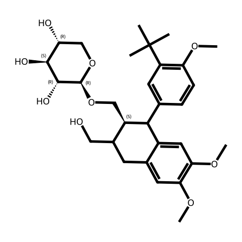 COc1cc2c(cc1OC)C(c1ccc(OC)c(C(C)(C)C)c1)[C@H](CO[C@@H]1OC[C@@H](O)[C@H](O)[C@H]1O)C(CO)C2